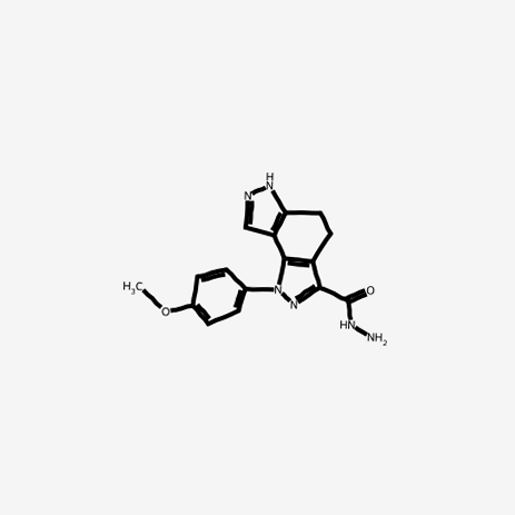 COc1ccc(-n2nc(C(=O)NN)c3c2-c2cn[nH]c2CC3)cc1